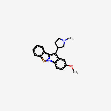 COc1ccc2c(c1)c(C1CCN(C)C1)c1c3ccccc3sn21